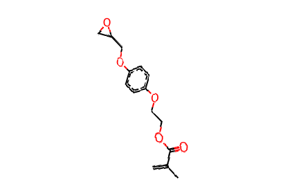 C=C(C)C(=O)OCCOc1ccc(OCC2CO2)cc1